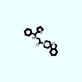 O=C(CNC(c1ccccc1)c1cccs1)N1CCC2(CC1)OCc1ccccc12